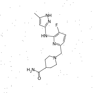 Cc1cc(Nc2nc(CN3CCC(C(N)=O)CC3)ccc2F)n[nH]1